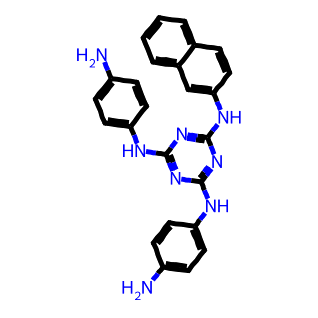 Nc1ccc(Nc2nc(Nc3ccc(N)cc3)nc(Nc3ccc4ccccc4c3)n2)cc1